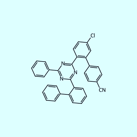 N#Cc1ccc(-c2cc(Cl)ccc2-c2nc(-c3ccccc3)nc(-c3ccccc3-c3ccccc3)n2)cc1